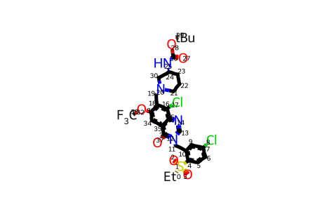 CCS(=O)(=O)c1ccc(Cl)cc1Cn1cnc2c(Cl)c(CN3CCC[C@H](NC(=O)OC(C)(C)C)C3)c(OC(F)(F)F)cc2c1=O